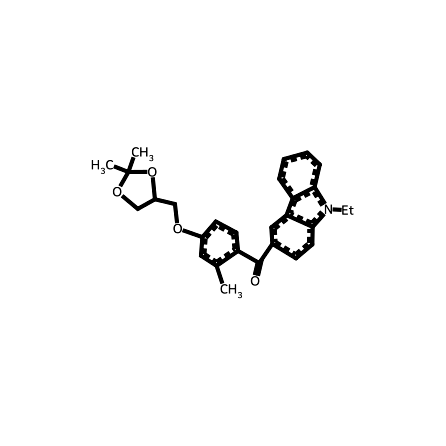 CCn1c2ccccc2c2cc(C(=O)c3ccc(OCC4COC(C)(C)O4)cc3C)ccc21